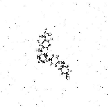 CC(=O)Nc1c(C)ccc(Nc2ncnc(N3CCC(Oc4ccc(Cl)cc4)CC3)n2)c1C